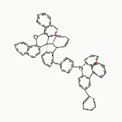 C1=CC2c3c(-c4ccc(N(c5ccccc5)c5ccc(C6=CCCC=C6)cc5-c5ccccc5)cc4)cccc3C3(c4ccc5ccccc5c4Oc4c3ccc3ccccc43)C2C=C1